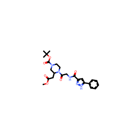 COC(=O)CC1CN(C(=O)OC(C)(C)C)CCN1C(=O)CNC(=O)c1cc(-c2ccccc2)[nH]n1